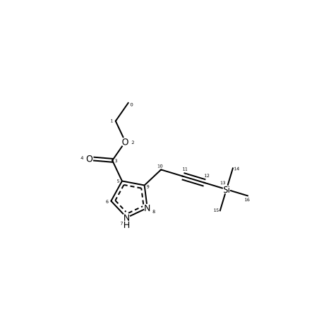 CCOC(=O)c1c[nH]nc1CC#C[Si](C)(C)C